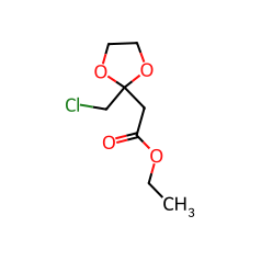 CCOC(=O)CC1(CCl)OCCO1